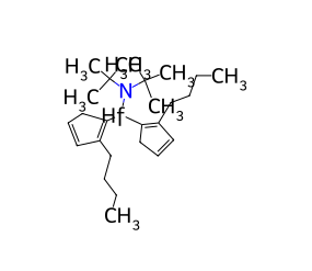 CCCCC1=[C]([Hf]([C]2=C(CCCC)C=CC2)[N](C(C)(C)C)C(C)(C)C)CC=C1